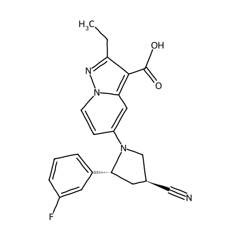 CCc1nn2ccc(N3C[C@@H](C#N)C[C@@H]3c3cccc(F)c3)cc2c1C(=O)O